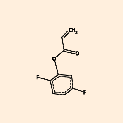 C=CC(=O)Oc1cc(F)ccc1F